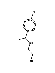 CC(NCCC(C)(C)C)c1ccc(Cl)cc1